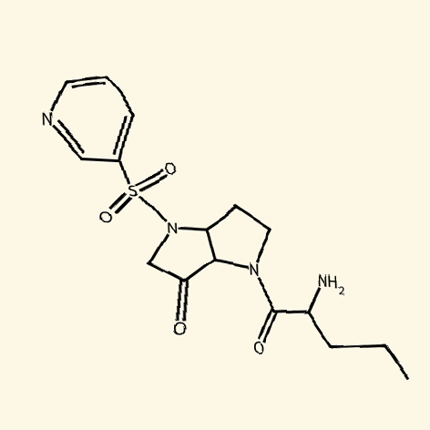 CCCC(N)C(=O)N1CCC2C1C(=O)CN2S(=O)(=O)c1cccnc1